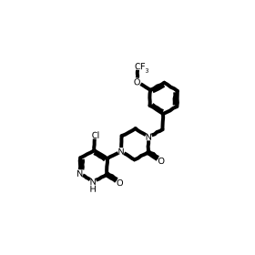 O=C1CN(c2c(Cl)cn[nH]c2=O)CCN1Cc1cccc(OC(F)(F)F)c1